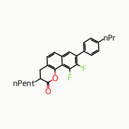 CCCCCC1Cc2ccc3cc(-c4ccc(CCC)cc4)c(F)c(F)c3c2OC1=O